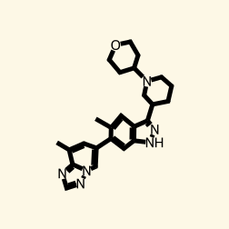 Cc1cc2c(C3CCCN(C4CCOCC4)C3)n[nH]c2cc1-c1cc(C)c2ncnn2c1